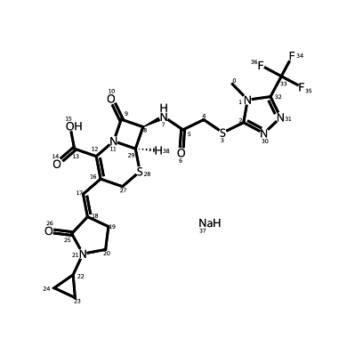 Cn1c(SCC(=O)N[C@@H]2C(=O)N3C(C(=O)O)=C(/C=C4\CCN(C5CC5)C4=O)CS[C@H]23)nnc1C(F)(F)F.[NaH]